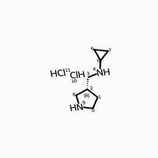 C1C[C@@H](CNC2CC2)CN1.Cl.Cl